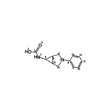 O=C(O)NC1C2CN(c3ccccc3)CC21